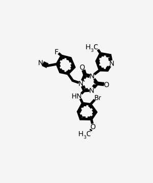 COc1ccc(Nc2nc(=O)n(-c3cncc(C)c3)c(=O)n2Cc2ccc(F)c(C#N)c2)c(Br)c1